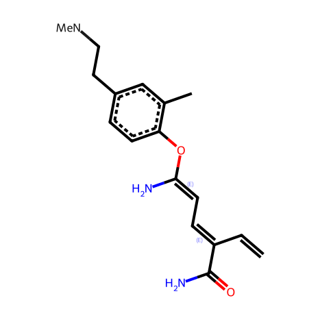 C=C/C(=C\C=C(/N)Oc1ccc(CCNC)cc1C)C(N)=O